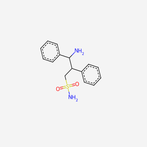 NC(c1ccccc1)C(CS(N)(=O)=O)c1ccccc1